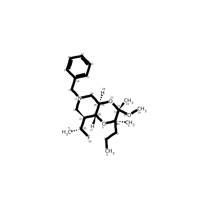 CCC[C@@]1(C)O[C@@H]2[C@@H]([C@@H](C)F)CN(Cc3ccccc3)C[C@H]2O[C@]1(C)OC